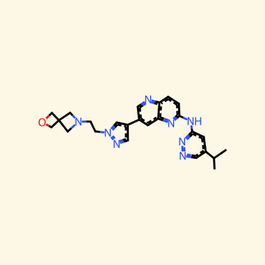 CC(C)c1cnnc(Nc2ccc3ncc(-c4cnn(CCN5CC6(COC6)C5)c4)cc3n2)c1